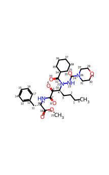 CCCC[C@@H](C(=O)C(=O)N[C@@H](Cc1ccccc1)C(=O)OC)N(NC(=O)N1CCOCC1)C(=O)C1CCCCC1